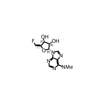 CNc1ncnc2c1ncn2[C@@H]1O/C(=C/F)[C@@H](O)[C@H]1O